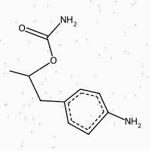 CC(Cc1ccc(N)cc1)OC(N)=O